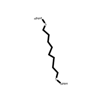 CCCCCCSCCCCCCCCSCCCCC